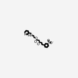 O=C(C=Cc1cccc([N+](=O)[O-])c1)CC(=O)OCCNCc1cccnc1